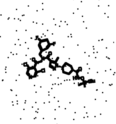 Cc1c(C(=O)N(CC(=O)c2c(Cl)cncc2Cl)Cc2cc(F)cc(F)c2)cnn1[C@H]1CC[C@H](C(=O)NO[Si](C)(C)C(C)(C)C)CC1